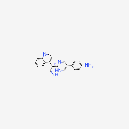 N=C/C(=C1/N=CC(c2ccc(N)cc2)=CN1)c1ccnc2ccccc12